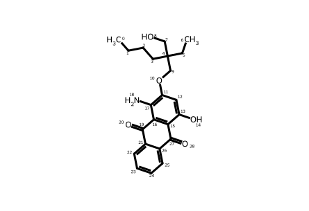 CCCCC(CC)(CO)COc1cc(O)c2c(c1N)C(=O)c1ccccc1C2=O